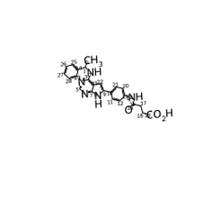 CC(Nc1ncnc2[nH]c(-c3ccc(NC(=O)CCC(=O)O)cc3)cc12)c1ccccc1